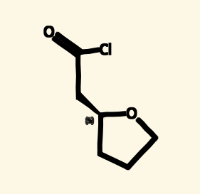 O=C(Cl)C[C@@H]1CCCO1